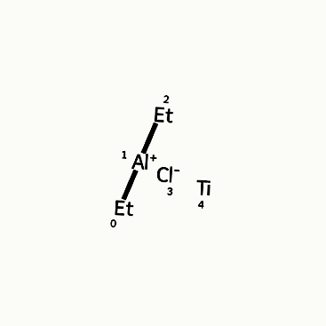 C[CH2][Al+][CH2]C.[Cl-].[Ti]